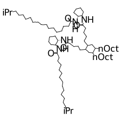 CCCCCCCCC1CC(CCCCC(=O)N[C@H]2CCCC[C@@H]2NC(=O)CCCCCCCCCCCCCC(C)C)C(CCCCC(=O)N[C@@H]2CCCC[C@H]2NC(=O)CCCCCCCCCCCCCCCC(C)C)CC1CCCCCCCC